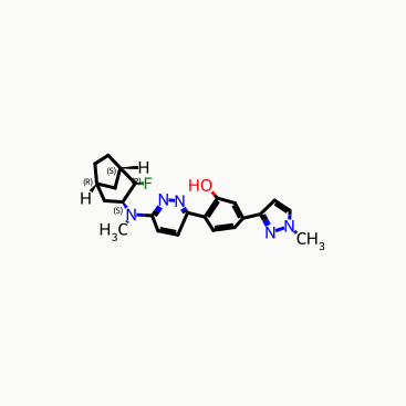 CN(c1ccc(-c2ccc(-c3ccn(C)n3)cc2O)nn1)[C@H]1C[C@@H]2CC[C@@H](C2)[C@H]1F